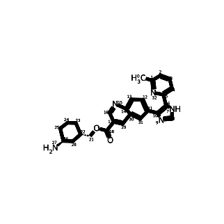 Cc1cccc(-c2[nH]cnc2-c2ccc3ncc(C(=O)OC[C@H]4CCC[C@H](N)C4)cc3c2)n1